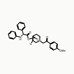 COc1ccc(C(=O)C[N+]23CCC(CC2)[C@@H](OC(=O)[C@@H](Nc2ccccc2)c2ccccc2)C3)cc1